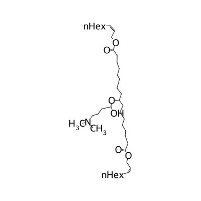 CCCCCC/C=C\COC(=O)CCCCCCCC(CCCCCCCC(=O)OC/C=C\CCCCCC)OC(O)CCCN(C)C